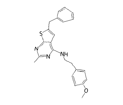 COc1ccc(CCNc2nc(C)nc3sc(Cc4ccccc4)cc23)cc1